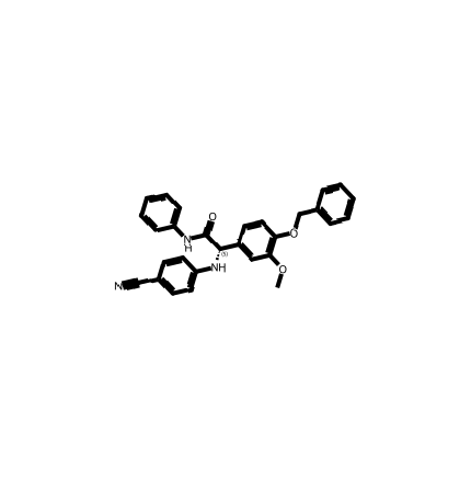 COc1cc([C@H](Nc2ccc(C#N)cc2)C(=O)Nc2ccccc2)ccc1OCc1ccccc1